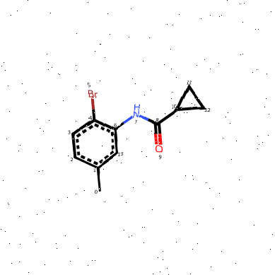 Cc1ccc(Br)c(NC(=O)C2CC2)c1